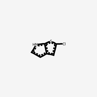 Clc1cc2cc[nH]c2s1